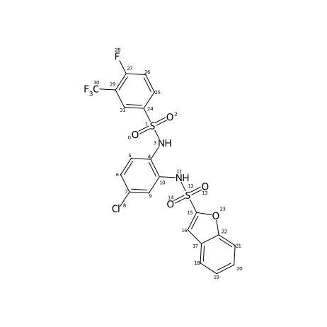 O=S(=O)(Nc1ccc(Cl)cc1NS(=O)(=O)c1cc2ccccc2o1)c1ccc(F)c(C(F)(F)F)c1